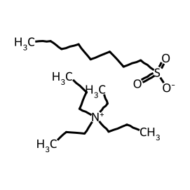 CCCCCCCCS(=O)(=O)[O-].CCC[N+](CC)(CCC)CCC